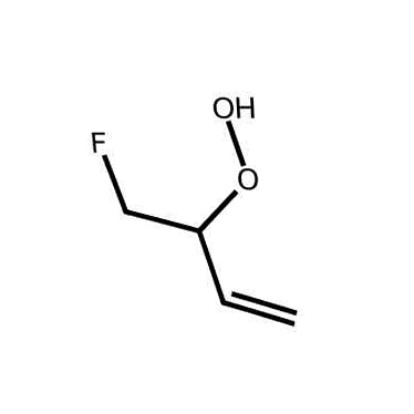 C=CC(CF)OO